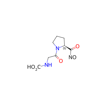 O=NC(=O)[C@@H]1CCCN1C(=O)CNC(=O)O